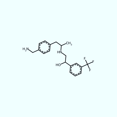 CC(Cc1ccc(CN)cc1)NCC(O)c1cccc(C(F)(F)F)c1